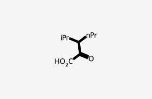 CCCC(C(=O)C(=O)O)C(C)C